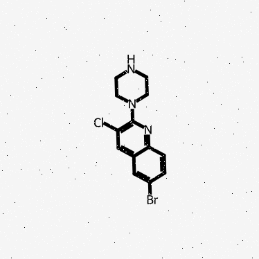 Clc1cc2cc(Br)ccc2nc1N1CCNCC1